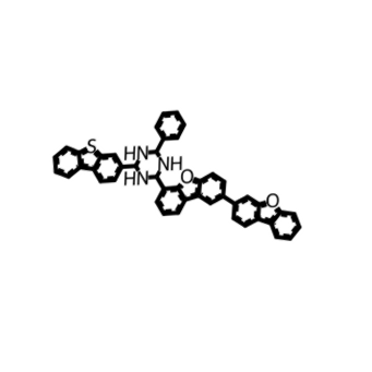 c1ccc(C2NC(c3ccc4c(c3)sc3ccccc34)NC(c3cccc4c3oc3ccc(-c5ccc6c(c5)oc5ccccc56)cc34)N2)cc1